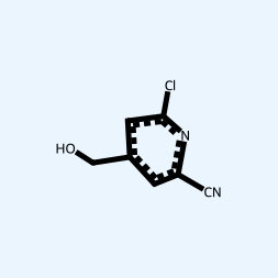 N#Cc1cc(CO)cc(Cl)n1